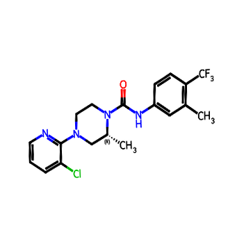 Cc1cc(NC(=O)N2CCN(c3ncccc3Cl)C[C@H]2C)ccc1C(F)(F)F